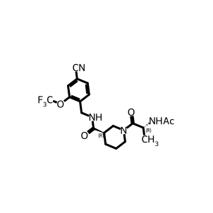 CC(=O)N[C@H](C)C(=O)N1CCC[C@@H](C(=O)NCc2ccc(C#N)cc2OC(F)(F)F)C1